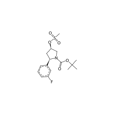 CC(C)(C)OC(=O)N1C[C@H](OS(C)(=O)=O)C[C@@H]1c1cccc(F)c1